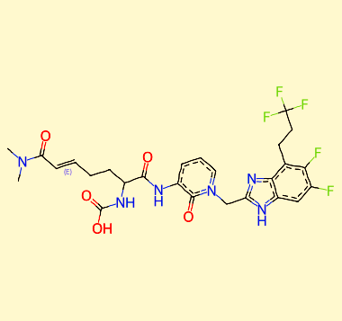 CN(C)C(=O)/C=C/CCC(NC(=O)O)C(=O)Nc1cccn(Cc2nc3c(CCC(F)(F)F)c(F)c(F)cc3[nH]2)c1=O